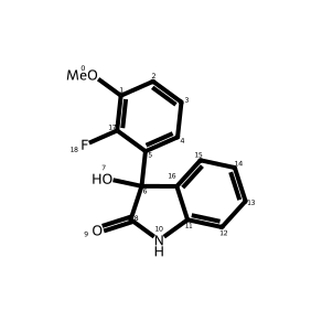 COc1cccc(C2(O)C(=O)Nc3ccccc32)c1F